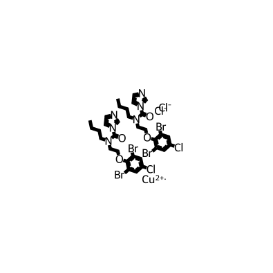 CCCCN(CCOc1c(Br)cc(Cl)cc1Br)C(=O)n1ccnc1.CCCCN(CCOc1c(Br)cc(Cl)cc1Br)C(=O)n1ccnc1.[Cl-].[Cl-].[Cu+2]